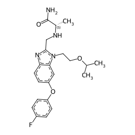 CC(C)OCCn1c(CN[C@@H](C)C(N)=O)nc2ccc(Oc3ccc(F)cc3)cc21